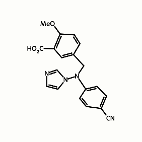 COc1ccc(CN(c2ccc(C#N)cc2)n2ccnc2)cc1C(=O)O